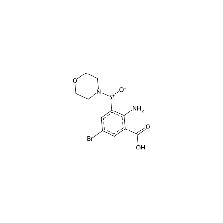 Nc1c(C(=O)O)cc(Br)cc1[S+]([O-])N1CCOCC1